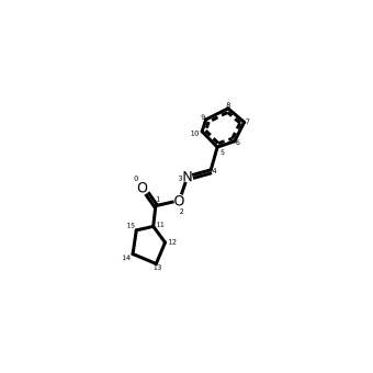 O=C(O/N=C/c1ccccc1)C1CCCC1